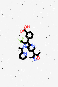 Cc1noc(C)c1-c1cnc2c(-c3cccc(C(=O)O)c3)c(C(F)(F)F)n(C(C)c3ccccn3)c2c1